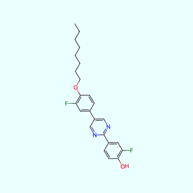 CCCCCCCCOc1ccc(-c2cnc(-c3ccc(O)c(F)c3)nc2)cc1F